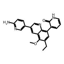 CCc1cc(-c2ccc[nH]c2=O)c2ncc(-c3ccc(N)nc3)cc2c1OC